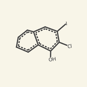 Oc1c(Cl)c(I)cc2ccccc12